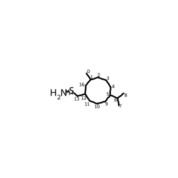 CC1CCCC(C(C)C)CCCC(CSN)C1